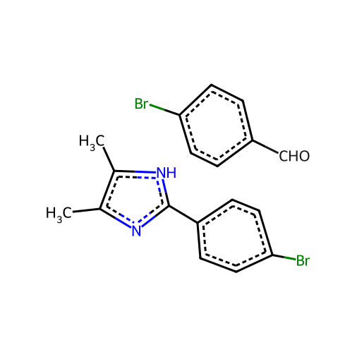 Cc1nc(-c2ccc(Br)cc2)[nH]c1C.O=Cc1ccc(Br)cc1